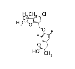 CC(Cc1cc(F)c(OCc2cc(Cl)cc3c2OC(C)C3(C)C)c(F)c1)C(=O)O